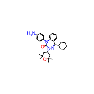 CC1(C)CC(N2N=C(C3CCCCC3)c3ccccc3N(c3ccc(N)cc3)C2=O)CC(C)(C)O1